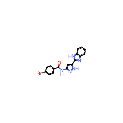 O=C(Nc1cc(-c2nc3ccccc3[nH]2)[nH]n1)c1ccc(Br)cc1